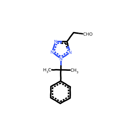 CC(C)(c1ccccc1)n1nnc(CC=O)n1